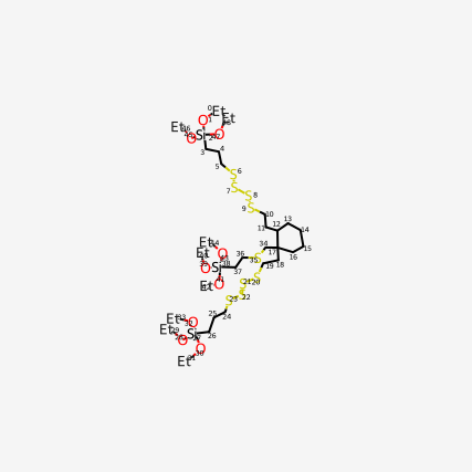 CCO[Si](CCCSSSSCCC1CCCCC1(CCSSSSCCC[Si](OCC)(OCC)OCC)CSCC[Si](OCC)(OCC)OCC)(OCC)OCC